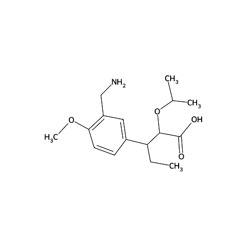 CCC(c1ccc(OC)c(CN)c1)C(OC(C)C)C(=O)O